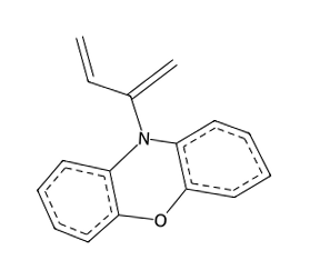 C=CC(=C)N1c2ccccc2Oc2ccccc21